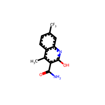 Cc1c(C(N)=O)c(O)nc2cc(C(F)(F)F)ccc12